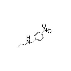 CCCNCc1ccc([N+](=O)[O-])cc1